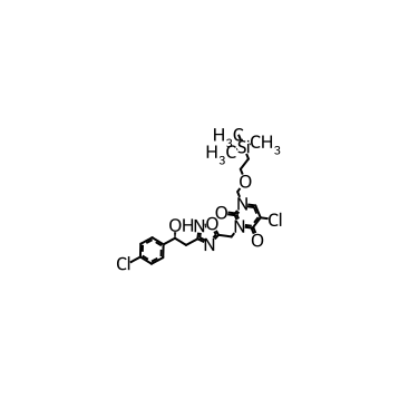 C[Si](C)(C)CCOCn1cc(Cl)c(=O)n(Cc2nc(C[C@H](O)c3ccc(Cl)cc3)no2)c1=O